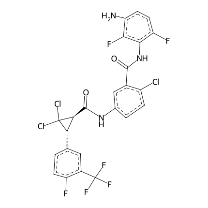 Nc1ccc(F)c(NC(=O)c2cc(NC(=O)[C@H]3[C@H](c4ccc(F)c(C(F)(F)F)c4)C3(Cl)Cl)ccc2Cl)c1F